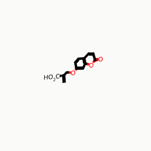 C=C(COc1ccc2ccc(=O)oc2c1)C(=O)O